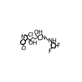 COc1ccc2ncc(Cl)c([C@@H](O)CCC3(CO)CCN(CCNc4cc(F)cc(F)c4)CC3)c2c1